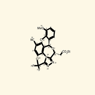 CCOC(=O)C[C@H]1O[C@H](c2cccc(OC)c2Cl)c2cc(C#N)ccc2-n2c1nnc2C(F)(F)Cl